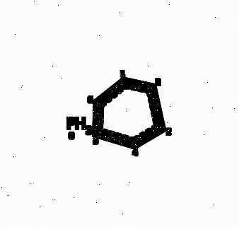 P.c1ccccc1